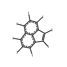 IC1=C(I)c2c(I)c(I)c(I)c3c(I)c(I)c(I)c1c23